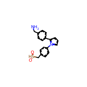 NCc1ccc(-c2cccn2-c2ccc(C[SH](=O)=O)cc2)cc1